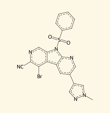 Cn1cc(-c2cnc3c(c2)c2c(Br)c(C#N)ncc2n3S(=O)(=O)c2ccccc2)cn1